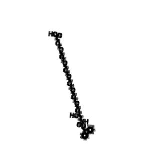 O=C(O)CCOCCOCCOCCOCCOCCOCCOCCOCCOCCOCCOCC(O)CCNC(=O)OCC1c2ccccc2-c2ccccc21